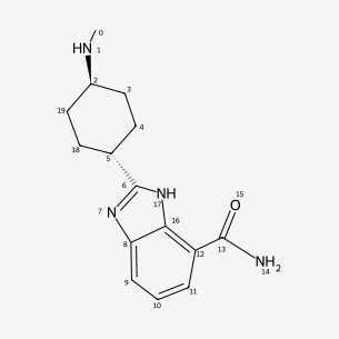 CN[C@H]1CC[C@H](c2nc3cccc(C(N)=O)c3[nH]2)CC1